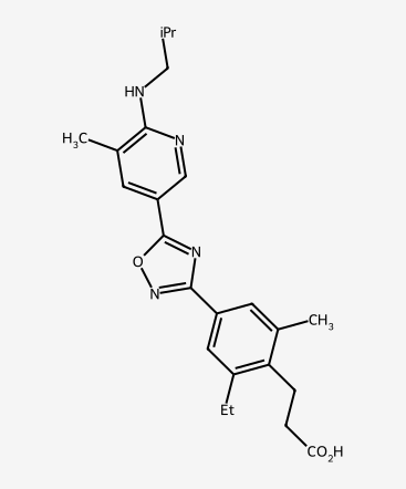 CCc1cc(-c2noc(-c3cnc(NCC(C)C)c(C)c3)n2)cc(C)c1CCC(=O)O